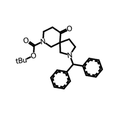 CC(C)(C)OC(=O)N1CCC(=O)C2(CCN(C(c3ccccc3)c3ccccc3)C2)C1